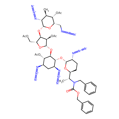 CC(=O)OC[C@H]1O[C@@H](O[C@@H]2[C@@H](OC(C)=O)[C@H](N=[N+]=[N-])C[C@H](N=[N+]=[N-])[C@H]2O[C@H]2O[C@H]([C@@H](C)N(Cc3ccccc3)C(=O)OCc3ccccc3)CC[C@H]2N=[N+]=[N-])[C@H](OC(C)=O)[C@@H]1O[C@H]1O[C@@H](CN=[N+]=[N-])[C@@H](OC(C)=O)[C@H](C)[C@H]1N=[N+]=[N-]